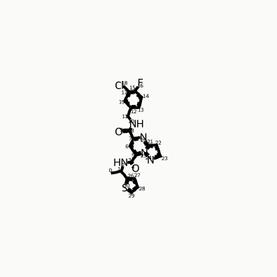 CC(NC(=O)c1cc(C(=O)NCc2ccc(F)c(Cl)c2)nc2ccnn12)c1cccs1